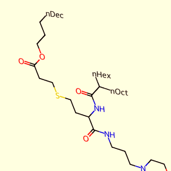 CCCCCCCCCCCCCOC(=O)CCSCCC(NC(=O)C(CCCCCC)CCCCCCCC)C(=O)NCCCN1CCOCC1